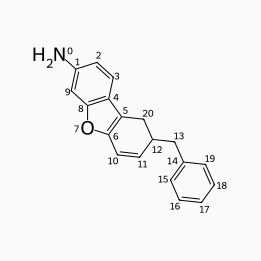 Nc1ccc2c3c(oc2c1)C=CC(Cc1ccccc1)C3